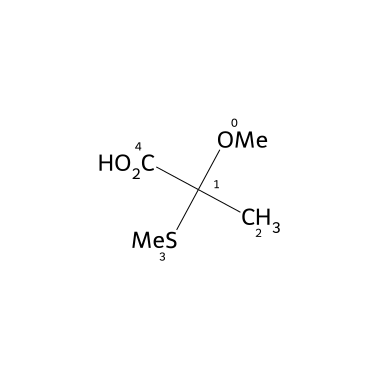 COC(C)(SC)C(=O)O